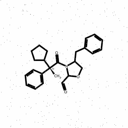 C[C@@](C(=O)N1C(Cc2ccccc2)COC1C=O)(c1ccccc1)C1CCCC1